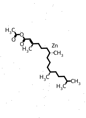 CC(=O)OC(=O)/C=C(\C)CCC[C@H](C)CCC[C@H](C)CCCC(C)C.[Zn]